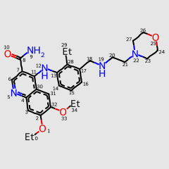 CCOc1cc2ncc(C(N)=O)c(Nc3cccc(CNCCN4CCOCC4)c3CC)c2cc1OCC